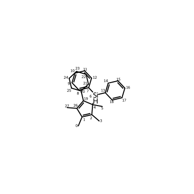 CC1=C(C)C(C)([SiH](c2ccccc2)c2ccccc2)C(C2CCCCC2)=C1C